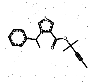 CC#CC(C)(C)OC(=O)c1cncn1C(C)c1ccccc1